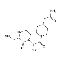 CCCC(C(=O)N1CCC(CC(N)=O)CC1)N1CCNC(CC(C)(C)C)C1=O